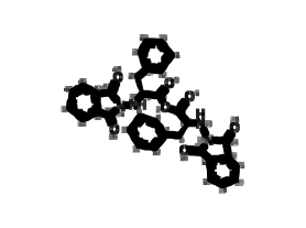 O=C(OC(=O)[C@H](Cc1ccccc1)NN1C(=O)c2ccccc2C1=O)[C@H](Cc1ccccc1)NN1C(=O)c2ccccc2C1=O